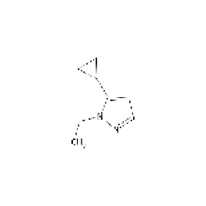 CCn1nccc1C1CC1